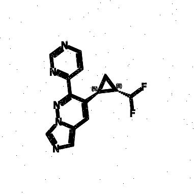 FC(F)[C@H]1C[C@@H]1c1cc2cncn2nc1-c1ccncn1